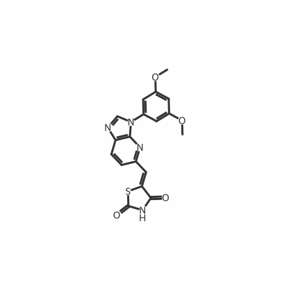 COc1cc(OC)cc(-n2cnc3ccc(/C=C4\SC(=O)NC4=O)nc32)c1